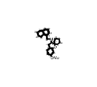 COc1ccc2c(c1)OC1(CCCCC1)C(NCc1cccc3ccccc13)C2